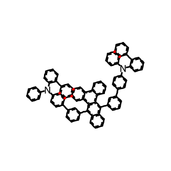 c1ccc(-c2ccccc2N(c2ccccc2)c2ccc(-c3cccc(-c4c5ccccc5c(-c5cccc(-c6ccc(N(c7ccccc7)c7ccccc7-c7ccccc7)cc6)c5)c5c6ccccc6c6ccccc6c45)c3)cc2)cc1